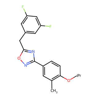 Cc1cc(-c2noc(Cc3cc(F)cc(F)c3)n2)ccc1OC(C)C